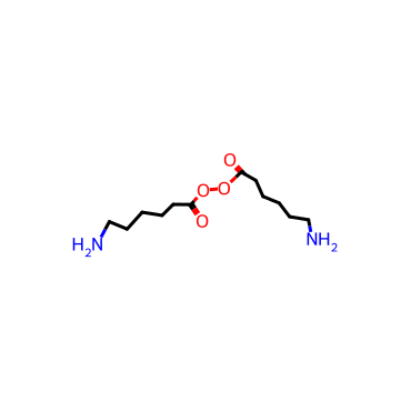 NCCCCCC(=O)OOC(=O)CCCCCN